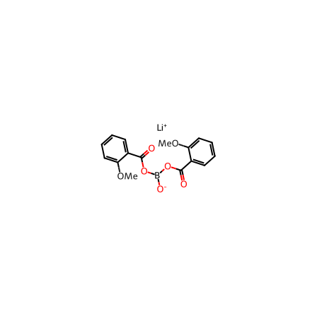 COc1ccccc1C(=O)OB([O-])OC(=O)c1ccccc1OC.[Li+]